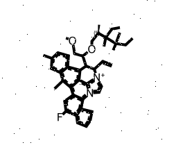 C=CC1C(C(COC)OC[C@@H](C)C(C)(CC)C(C)(C)CC)c2c3ccc(C)cc3c(C)c3c4cc(F)c5ccccc5c4n4cc[n+]1c4c23